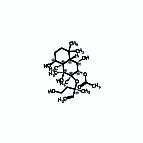 C=C[C@@](C)(CCO)O[C@]1(C)[C@@H](OC(C)=O)[C@@H](O)[C@H]2C(C)(C)CC[C@H](O)[C@]2(C)[C@]1(C)O